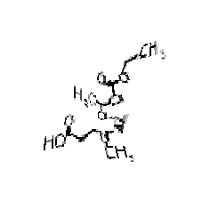 CCOC(=O)OC(C)O/N=N\N(C)CCC(=O)O